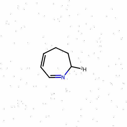 [2H]C1CCC=CC=N1